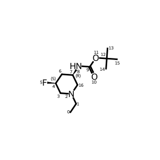 CCN1C[C@@H](F)C[C@@H](NC(=O)OC(C)(C)C)C1